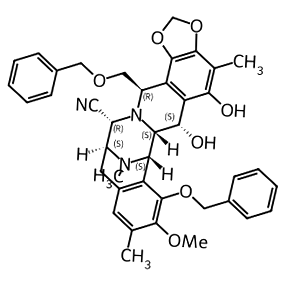 COc1c(C)cc2c(c1OCc1ccccc1)[C@H]1[C@H]3[C@@H](O)c4c(O)c(C)c5c(c4[C@H](COCc4ccccc4)N3[C@@H](C#N)[C@H](C2)N1C)OCO5